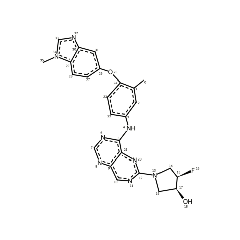 Cc1cc(Nc2ncnc3cnc(N4C[C@@H](F)[C@@H](O)C4)nc23)ccc1Oc1ccc2c(c1)ncn2C